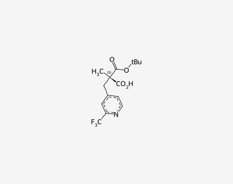 CC(C)(C)OC(=O)[C@@](C)(Cc1ccnc(C(F)(F)F)c1)C(=O)O